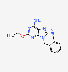 CCOc1nc(N)c2ncn(Cc3ccccc3C#N)c2n1